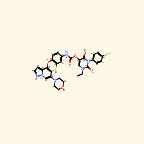 CCn1cc(OC(=O)Nc2ccc(Oc3cc(N4CCOCC4)cn4nccc34)c(F)c2)c(=O)n(-c2ccc(F)cc2)c1=O